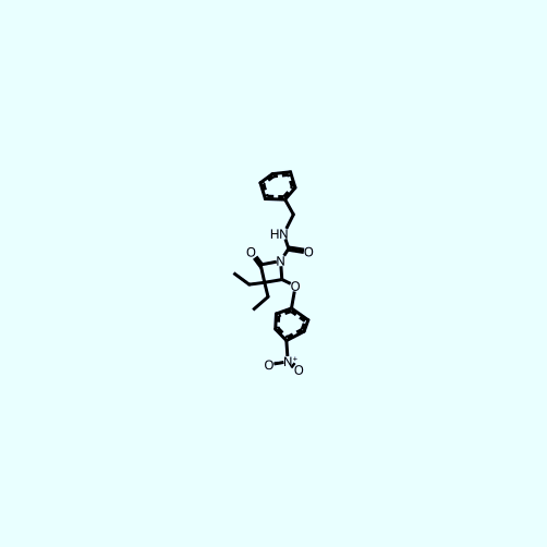 CCC1(CC)C(=O)N(C(=O)NCc2ccccc2)C1Oc1ccc([N+](=O)[O-])cc1